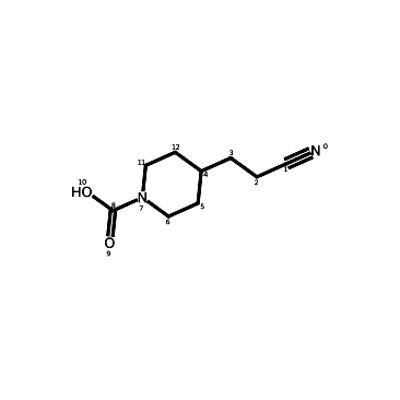 N#CCCC1CCN(C(=O)O)CC1